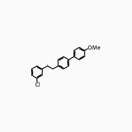 COc1ccc(-c2ccc(C[CH]c3cccc(Cl)c3)cc2)cc1